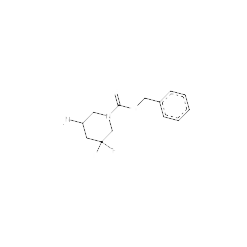 NC1CN(C(=O)OCc2ccccc2)CC(F)(F)C1